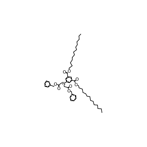 CCCCCCCCCCCCCCOC(=O)c1cc(C(=O)OCCCCCCCCCCCCCC)cc(N(CC(=O)OCc2ccccc2)CC(=O)OCc2ccccc2)c1